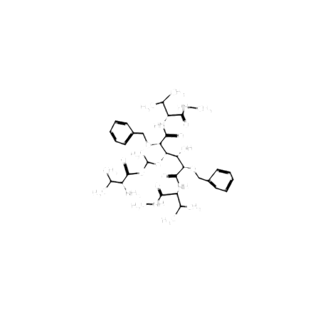 CNC(=O)[C@@H](NC(=O)[C@H](OCc1ccccc1)[C@H](O)[C@@H](OC(C)OC(=O)[C@@H](N)C(C)C)[C@@H](OCc1ccccc1)C(=O)N[C@H](C(=O)NC)C(C)C)C(C)C